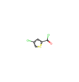 O=C(Cl)c1cc(Cl)cs1